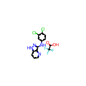 Clc1ccc(Nc2n[nH]c3cccnc23)cc1Cl.O=C(O)C(F)(F)F